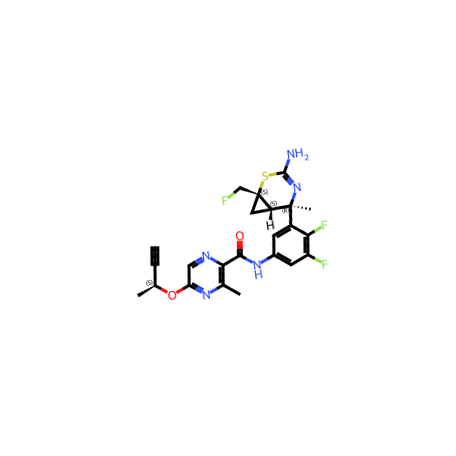 C#C[C@H](C)Oc1cnc(C(=O)Nc2cc(F)c(F)c([C@]3(C)N=C(N)S[C@@]4(CF)C[C@H]43)c2)c(C)n1